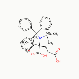 CC(C)(C)N(C(c1ccccc1)(c1ccccc1)c1ccccc1)[C@](CCC(=O)O)(C(=O)O)C(C)(C)C